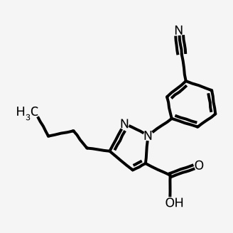 CCCCc1cc(C(=O)O)n(-c2cccc(C#N)c2)n1